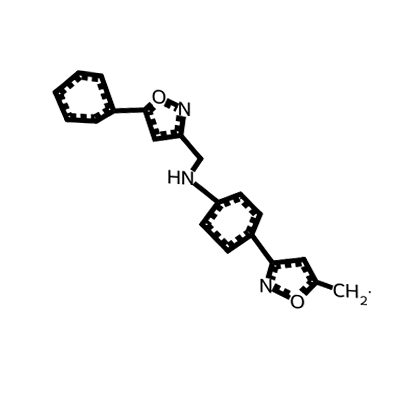 [CH2]c1cc(-c2ccc(NCc3cc(-c4ccccc4)on3)cc2)no1